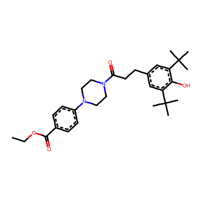 CCOC(=O)c1ccc(N2CCN(C(=O)CCc3cc(C(C)(C)C)c(O)c(C(C)(C)C)c3)CC2)cc1